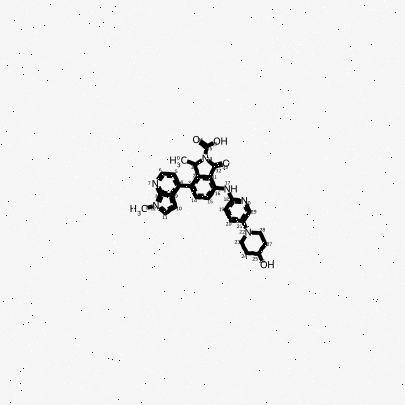 CC1c2c(-c3ccnc4c3ccn4C)ccc(Nc3ccc(N4CCC(O)CC4)cn3)c2C(=O)N1C(=O)O